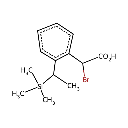 CC(c1ccccc1C(Br)C(=O)O)[Si](C)(C)C